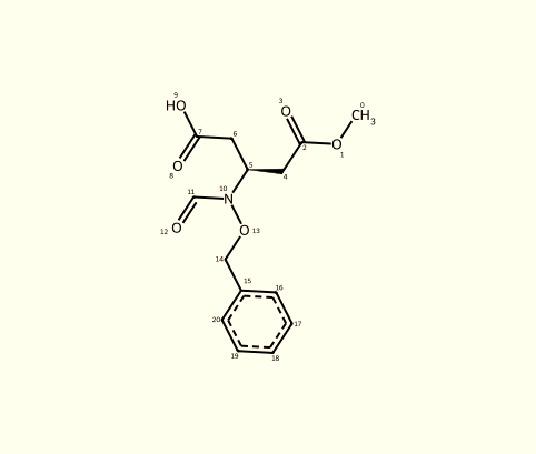 COC(=O)C[C@H](CC(=O)O)N(C=O)OCc1ccccc1